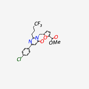 COC(=O)c1ccc(Cn2c(CCCC(F)(F)F)nc(-c3ccc(Cl)cc3)cc2=O)o1